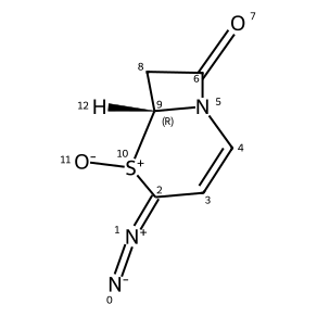 [N-]=[N+]=C1C=CN2C(=O)C[C@H]2[S+]1[O-]